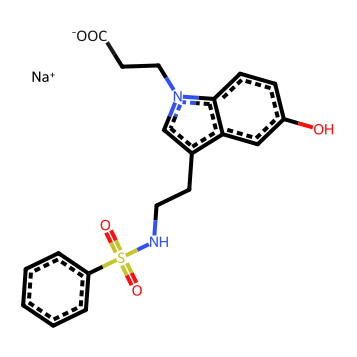 O=C([O-])CCn1cc(CCNS(=O)(=O)c2ccccc2)c2cc(O)ccc21.[Na+]